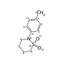 Cc1ccc(N2CCCCS2(=O)=O)cc1